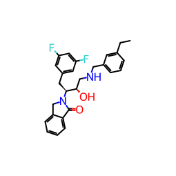 CCc1cccc(CNC[C@@H](O)[C@H](Cc2cc(F)cc(F)c2)N2Cc3ccccc3C2=O)c1